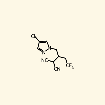 N#CC(C#N)C(Cn1cc(Cl)cn1)CC(F)(F)F